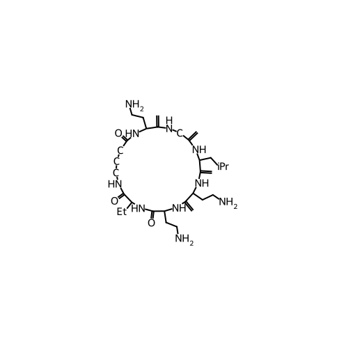 C=C1CNC(=C)C(CCN)NC(=O)CCCNC(=O)C(CC)NC(=O)C(CCN)NC(=C)C(CCN)NC(=C)C(CC(C)C)N1